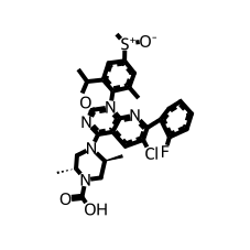 Cc1cc([S+](C)[O-])cc(C(C)C)c1-n1c(=O)nc(N2C[C@@H](C)N(C(=O)O)C[C@@H]2C)c2cc(Cl)c(-c3ccccc3F)nc21